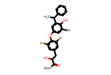 COC(=O)C(O)Cc1cc(Br)c(Oc2cc(C(C)C)c(O)c(C(C)c3ccccc3)c2)c(Br)c1